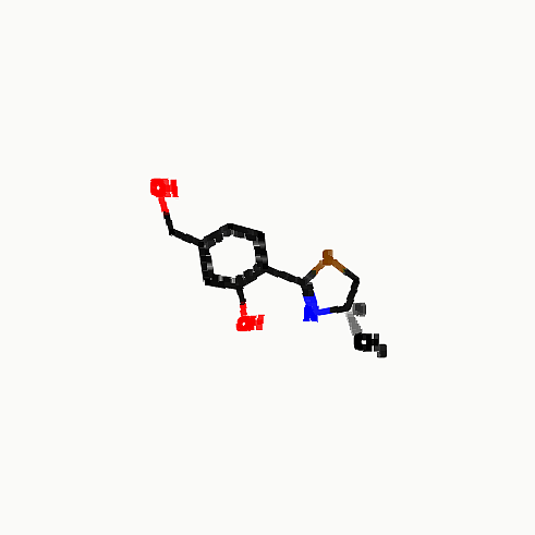 C[C@H]1CSC(c2ccc(CO)cc2O)=N1